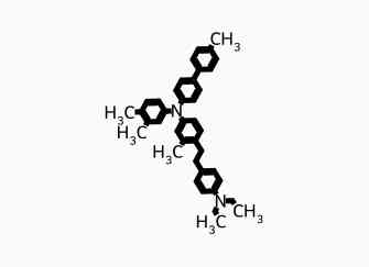 CCN(CC)c1ccc(CCc2ccc(N(c3ccc(-c4ccc(C)cc4)cc3)c3ccc(C)c(C)c3)cc2C)cc1